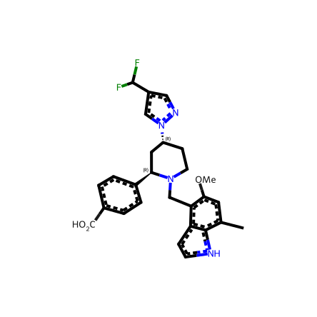 COc1cc(C)c2[nH]ccc2c1CN1CC[C@@H](n2cc(C(F)F)cn2)C[C@@H]1c1ccc(C(=O)O)cc1